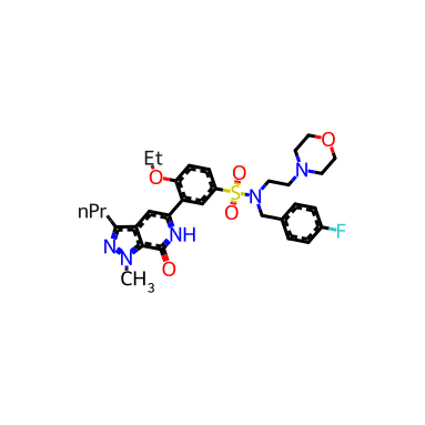 CCCc1nn(C)c2c(=O)[nH]c(-c3cc(S(=O)(=O)N(CCN4CCOCC4)Cc4ccc(F)cc4)ccc3OCC)cc12